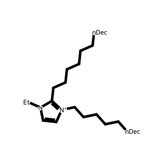 CCCCCCCCCCCCCCCCc1n(CC)cc[n+]1CCCCCCCCCCCCCCC